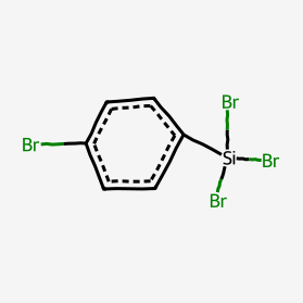 Brc1ccc([Si](Br)(Br)Br)cc1